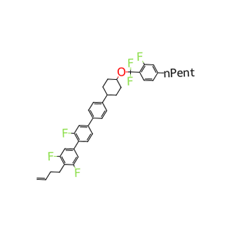 C=CCCc1c(F)cc(-c2ccc(-c3ccc(C4CCC(OC(F)(F)c5ccc(CCCCC)cc5F)CC4)cc3)cc2F)cc1F